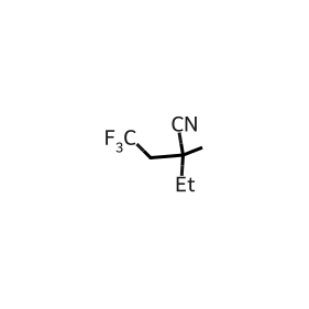 CCC(C)(C#N)CC(F)(F)F